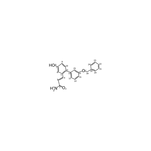 NC(=O)/C=C/c1cc(O)ccc1-c1cccc(OCc2ccccc2)c1